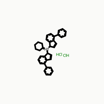 C1=C[CH]([Hf](=[C]2CCCCC2)[CH]2C=Cc3c(-c4ccccc4)cccc32)c2cccc(-c3ccccc3)c21.Cl.Cl